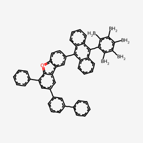 Bc1c(B)c(B)c(-c2c3ccccc3c(-c3ccc4oc5c(-c6ccccc6)cc(-c6cccc(-c7ccccc7)c6)cc5c4c3)c3ccccc23)c(B)c1B